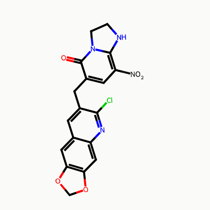 O=c1c(Cc2cc3cc4c(cc3nc2Cl)OCO4)cc([N+](=O)[O-])c2n1CCN2